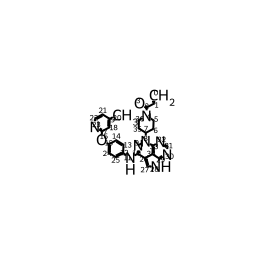 C=CC(=O)N1CCC(N2N=C(Nc3ccc(Oc4cc(C)ccn4)cc3)c3c[nH]c4ncnc2c34)CC1